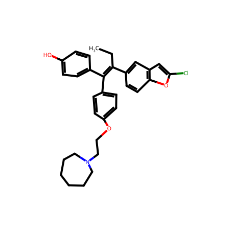 CC/C(=C(\c1ccc(O)cc1)c1ccc(OCCN2CCCCCC2)cc1)c1ccc2oc(Cl)cc2c1